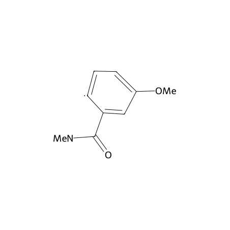 CNC(=O)c1[c]ccc(OC)c1